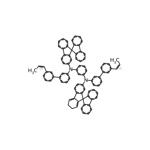 C/C=C\c1cccc(-c2cccc(N(c3cccc(N(c4cccc(-c5cccc(/C=C\C)c5)c4)c4ccc5c(c4)C4(c6ccccc6-c6ccccc64)c4ccccc4-5)c3)c3ccc4c(c3)C3(C5=CCCC=C54)c4ccccc4-c4ccccc43)c2)c1